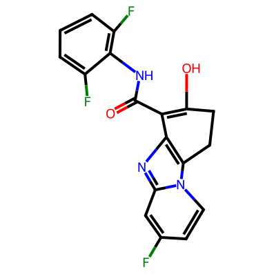 O=C(Nc1c(F)cccc1F)C1=C(O)CCc2c1nc1cc(F)ccn21